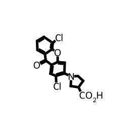 O=C(O)C1CCN(c2cc3oc4c(Cl)cccc4c(=O)c3cc2Cl)C1